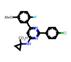 COc1ccc(F)c(-c2cc(NC3(C(=O)O)CC3)nc(-c3ccc(Cl)cc3)n2)c1